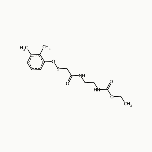 CCOC(=O)NCCNC(=O)CSOc1cccc(C)c1C